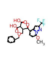 COc1ccc(C(=O)C(COCc2ccccc2)C(C(=O)O)C(=O)O)c2cc(C(F)(F)F)nn12